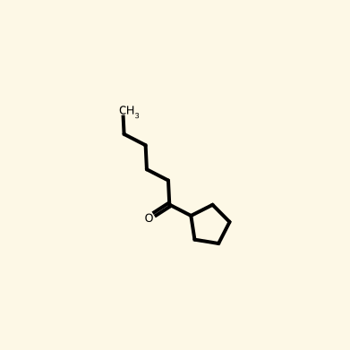 CCCCCC(=O)C1CCCC1